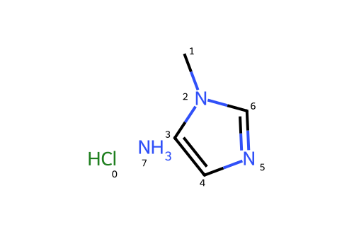 Cl.Cn1ccnc1.N